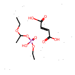 CCOC(C)OP(=O)(O)OCC.O=C(O)C=CC(=O)O